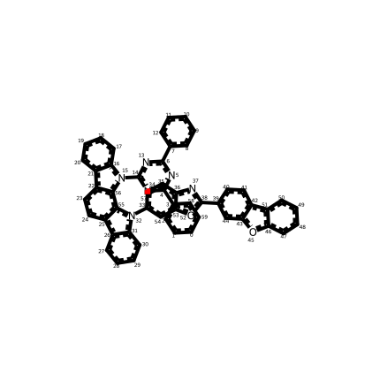 c1ccc(-c2nc(-c3ccccc3)nc(-n3c4ccccc4c4ccc5c6ccccc6n(-c6ccc7nc(-c8ccc9c(c8)oc8ccccc89)oc7c6)c5c43)n2)cc1